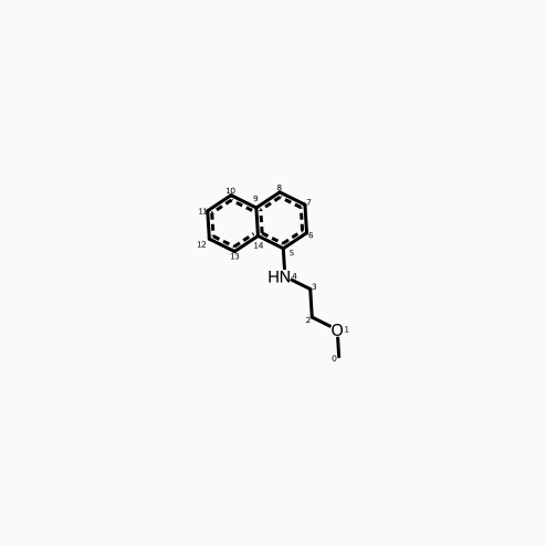 COCCNc1cccc2ccccc12